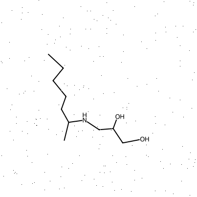 CCCCCC(C)NCC(O)CO